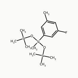 Cc1cc(F)cc([Si](C)(O[Si](C)(C)C)O[Si](C)(C)C)c1